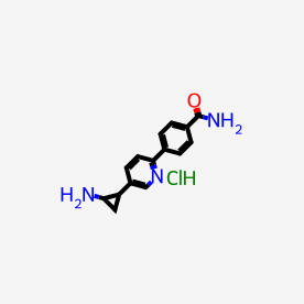 Cl.NC(=O)c1ccc(-c2ccc(C3CC3N)cn2)cc1